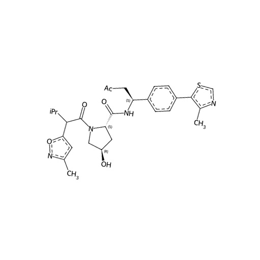 CC(=O)C[C@H](NC(=O)[C@@H]1C[C@@H](O)CN1C(=O)C(c1cc(C)no1)C(C)C)c1ccc(-c2scnc2C)cc1